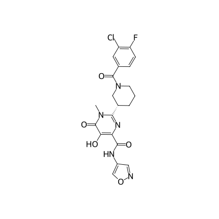 Cn1c([C@H]2CCCN(C(=O)c3ccc(F)c(Cl)c3)C2)nc(C(=O)Nc2cnoc2)c(O)c1=O